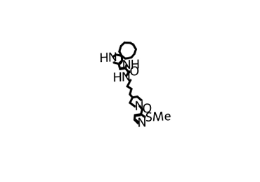 CSc1ncccc1C(=O)N1CCC(CCCCNC(=O)c2cc3c([nH]2)C2(CCCCCCCCC2)CNC3)CC1